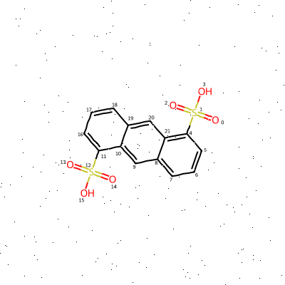 O=S(=O)(O)c1cccc2cc3c(S(=O)(=O)O)cccc3cc12